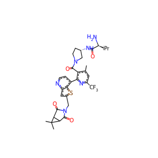 Cc1cc(C(F)(F)F)nc(-c2ccnc3cc(CN4C(=O)C5C(C4=O)C5(C)C)sc23)c1C(=O)N1CC[C@H](NC(=O)[C@@H](N)C(C)C)C1